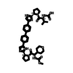 COC(=O)N[C@H](C(=O)N1CCC[C@H]1c1ncc(-c2ccc(-c3ccc(-c4c[nH]c([C@@H]5CCCN5C(=O)[C@@H](NC(=O)O)C(C)C)n4)cc3)cc2)[nH]1)C1CCOCC1